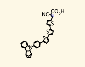 N#C/C(=C\c1ccc(-c2ccc(-c3ccc(-c4ccc(N5c6ccccc6C6C7CCC(C7)C65)cc4)s3)s2)s1)C(=O)O